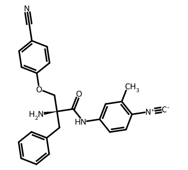 [C-]#[N+]c1ccc(NC(=O)[C@@](N)(COc2ccc(C#N)cc2)Cc2ccccc2)cc1C